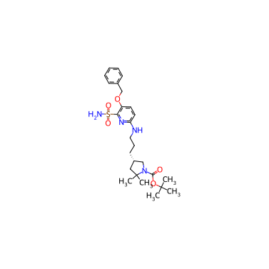 CC(C)(C)OC(=O)N1C[C@@H](CCCNc2ccc(OCc3ccccc3)c(S(N)(=O)=O)n2)CC1(C)C